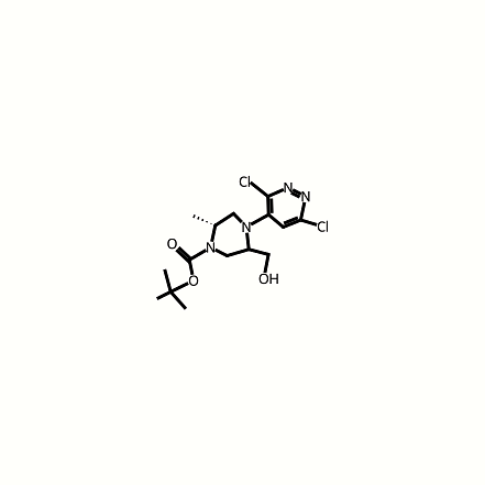 C[C@@H]1CN(c2cc(Cl)nnc2Cl)C(CO)CN1C(=O)OC(C)(C)C